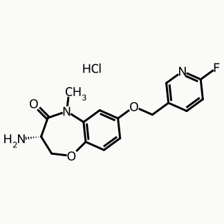 CN1C(=O)[C@@H](N)COc2ccc(OCc3ccc(F)nc3)cc21.Cl